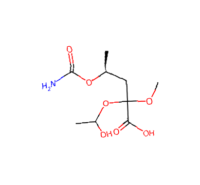 COC(C[C@H](C)OC(N)=O)(OC(C)O)C(=O)O